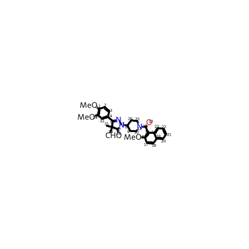 COc1ccc(C2=NN(C3CCN(C(=O)c4c(OC)ccc5ccccc45)CC3)C(C=O)C2(C)C)cc1OC